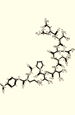 CCCN(NOC(=O)[C@@H]1CCCN1C(=O)[C@@H](NC(=O)[C@@H](NC(=O)[C@H](CC(=O)O)NC(=O)[C@H](CCC(=O)O)NC(=O)[C@@H](NC(=O)[C@H](CC(=O)O)NC(C)=O)[C@@H](C)O)C(C)C)C(C)C)C(=O)Oc1ccc([N+](=O)[O-])cc1